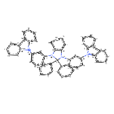 c1ccc(C2(c3ccccc3)N(c3cccc(-n4c5ccccc5c5ccccc54)c3)c3ccccc3N2c2cccc(-n3c4ccccc4c4ccccc43)c2)cc1